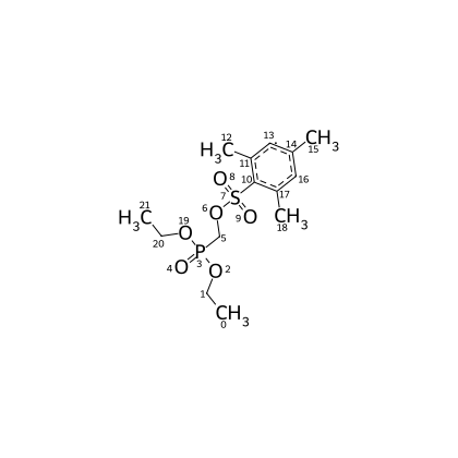 CCOP(=O)(COS(=O)(=O)c1c(C)[c]c(C)cc1C)OCC